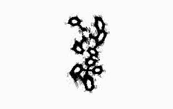 c1ccc(-c2nc(-c3ccccc3)nc(-c3c(-c4ccc5c(c4)sc4cc(C6(c7ccccc7)c7ccccc7-c7ccccc76)ccc45)ccc4ccccc34)n2)cc1